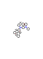 CC1(C)c2ccccc2-c2c(N(c3ccc4c(c3)[Si](C)(C)c3ccccc3C43c4ccccc4-c4cccc5cccc3c45)c3ccc4c(c3)c3ccccc3n4-c3ccccc3)cccc21